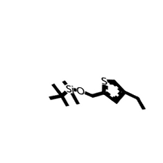 CCc1csc(CO[Si](C)(C)C(C)(C)C)c1